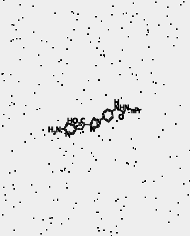 CCCNC(=O)Nc1ccc(-n2cnc(C(Cc3ccc(N)nc3)C(=O)O)c2)cc1